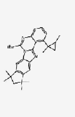 CC1CC1(C)c1cccc2nc(C(C)(C)C)n3c4cc5c(cc4nc3c12)C(C)(C)CC5(C)C